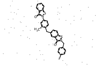 Cc1cc(-n2sc3ccccc3c2=O)ccc1Cc1ccc2sn(Cc3ccc(F)cc3)c(=O)c2c1